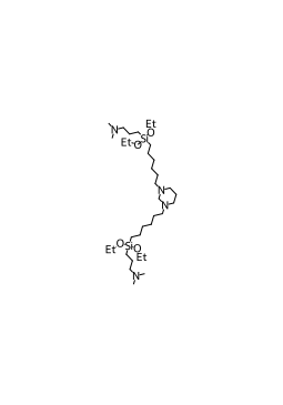 CCO[Si](CCCCCCN1CCCN(CCCCCC[Si](CCCN(C)C)(OCC)OCC)C1)(CCCN(C)C)OCC